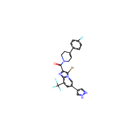 O=C(c1nc2c(C(F)(F)F)cc(-c3cn[nH]c3)cn2c1Br)N1CC=C(c2ccc(F)cc2)CC1